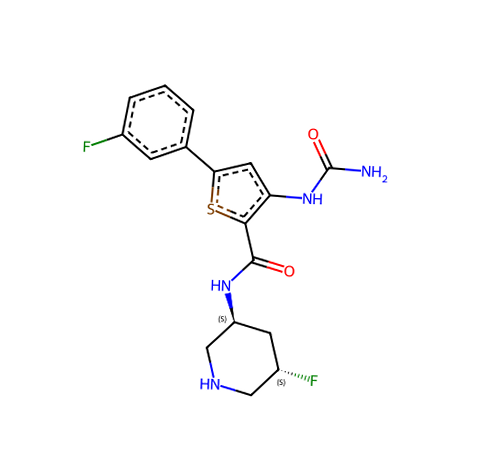 NC(=O)Nc1cc(-c2cccc(F)c2)sc1C(=O)N[C@@H]1CNC[C@@H](F)C1